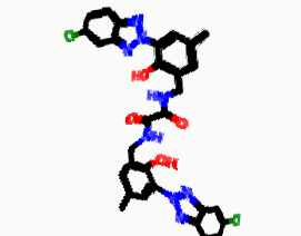 Cc1cc(CNC(=O)C(=O)NCc2cc(C)cc(-n3nc4ccc(Cl)cc4n3)c2O)c(O)c(-n2nc3ccc(Cl)cc3n2)c1